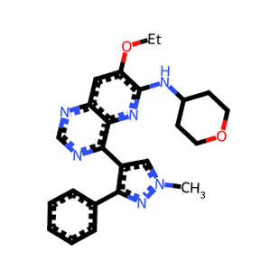 CCOc1cc2ncnc(-c3cn(C)nc3-c3ccccc3)c2nc1NC1CCOCC1